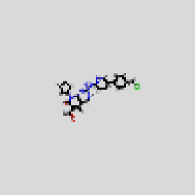 CC(=O)c1c(C)c2cnc(Nc3ccc(-c4ccc(CCl)cc4)cn3)nc2n(C2CCCC2)c1=O